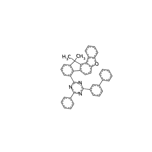 CC1(C)c2cccc(-c3nc(-c4ccccc4)nc(-c4cccc(-c5ccccc5)c4)n3)c2-c2ccc3oc4ccccc4c3c21